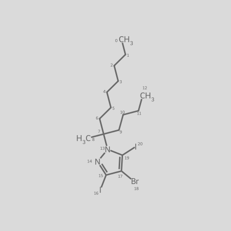 CCCCCCCC(C)(CCCC)n1nc(I)c(Br)c1I